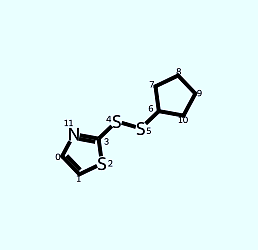 c1csc(SSC2CCCC2)n1